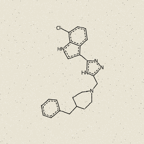 Clc1cccc2c(-c3nnc(CN4CCC(Cc5ccccc5)CC4)[nH]3)c[nH]c12